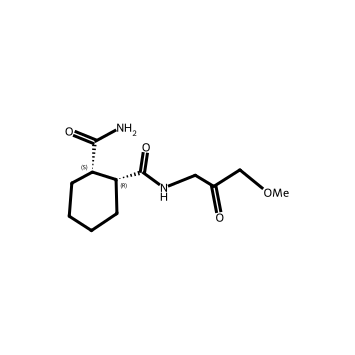 COCC(=O)CNC(=O)[C@@H]1CCCC[C@@H]1C(N)=O